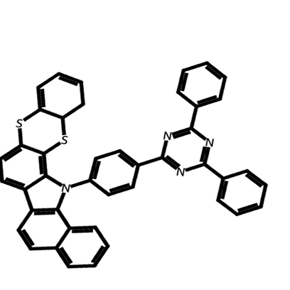 C1=CCC2Sc3c(ccc4c5ccc6ccccc6c5n(-c5ccc(-c6nc(-c7ccccc7)nc(-c7ccccc7)n6)cc5)c34)SC2=C1